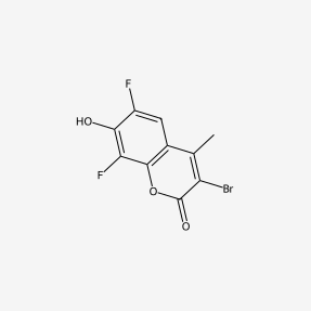 Cc1c(Br)c(=O)oc2c(F)c(O)c(F)cc12